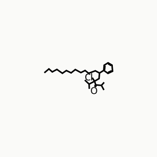 CCCCCCCCCCCCC(CC(Cl)(C(=O)C(C)C)C(C)C)c1ccccc1